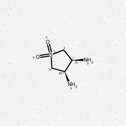 N[C@@H]1CS(=O)(=O)C[C@@H]1N